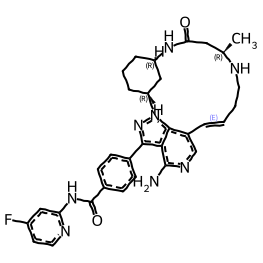 C[C@@H]1CC(=O)N[C@@H]2CCC[C@H](C2)n2nc(-c3ccc(C(=O)Nc4cc(F)ccn4)cc3)c3c(N)ncc(c32)/C=C/CCN1